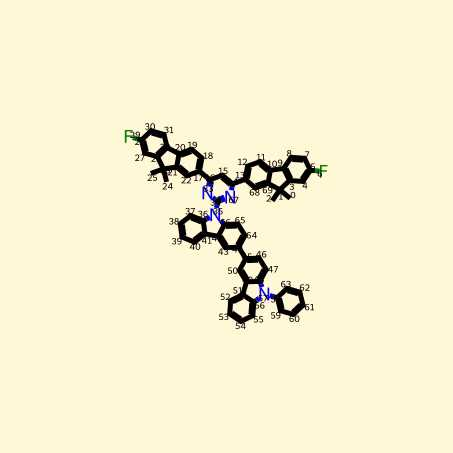 CC1(C)c2cc(F)ccc2-c2ccc(-c3cc(-c4ccc5c(c4)C(C)(C)c4cc(F)ccc4-5)nc(-n4c5ccccc5c5cc(-c6ccc7c(c6)c6ccccc6n7-c6ccccc6)ccc54)n3)cc21